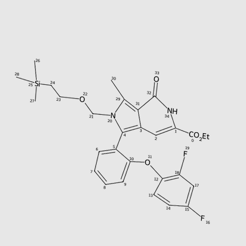 CCOC(=O)c1cc2c(-c3ccccc3Oc3ccc(F)cc3F)n(COCC[Si](C)(C)C)c(C)c2c(=O)[nH]1